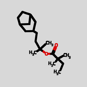 CCC(C)(C)C(=O)OC(C)(C)CCC1CC2CCC(C2)C1